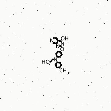 Cc1ccc(N(CCO)c2ccc(Oc3nc(O)c4ccncc4n3)cc2)cc1